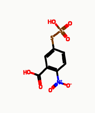 O=C(O)c1cc(SS(=O)(=O)O)ccc1[N+](=O)[O-]